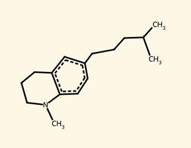 C[C](C)CCCc1ccc2c(c1)CCCN2C